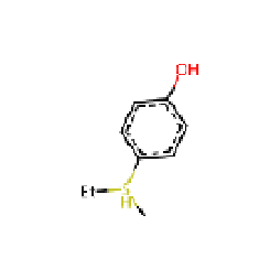 CC[SH](C)c1ccc(O)cc1